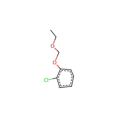 CCOCOc1ccc[c]c1Cl